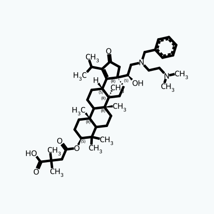 CC(C)C1=C2[C@H]3CCC4[C@@]5(C)CC[C@H](OC(=O)CC(C)(C)C(=O)O)C(C)(C)C5CC[C@@]4(C)[C@]3(C)CC[C@@]2([C@H](O)CN(CCN(C)C)Cc2ccccc2)CC1=O